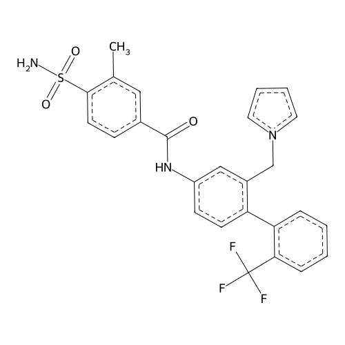 Cc1cc(C(=O)Nc2ccc(-c3ccccc3C(F)(F)F)c(Cn3cccc3)c2)ccc1S(N)(=O)=O